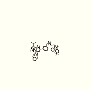 CC(C)c1cnn2c(N3CCOCC3)cc(-c3cccc(CN(C)CCN(C)C(=O)OC(C)(C)C)c3)nc12